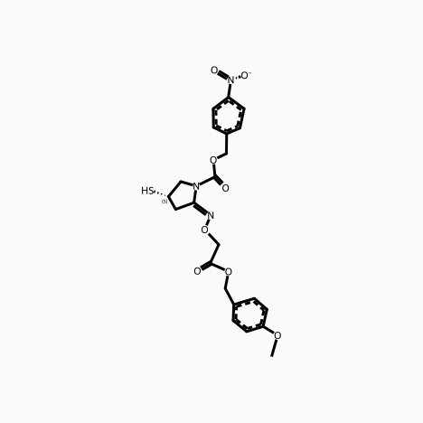 COc1ccc(COC(=O)CON=C2C[C@H](S)CN2C(=O)OCc2ccc([N+](=O)[O-])cc2)cc1